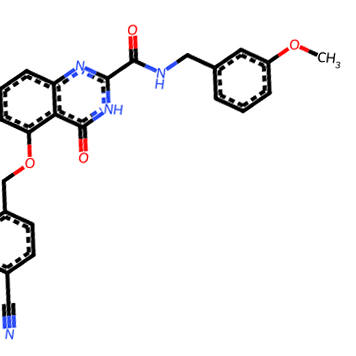 COc1cccc(CNC(=O)c2nc3cccc(OCc4ccc(C#N)cc4)c3c(=O)[nH]2)c1